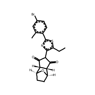 CCc1sc(-c2ccc(Br)cc2C)nc1C1C(=O)[C@@H]2[C@H](C1=O)[C@H]1CC[C@@H]2O1